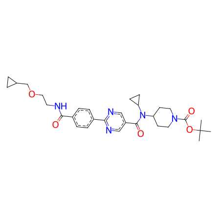 CC(C)(C)OC(=O)N1CCC(N(C(=O)c2cnc(-c3ccc(C(=O)NCCOCC4CC4)cc3)nc2)C2CC2)CC1